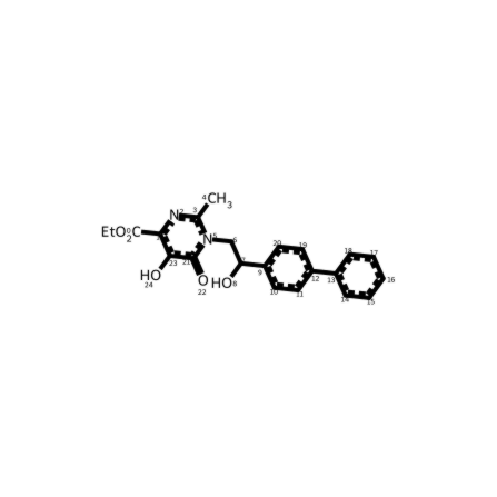 CCOC(=O)c1nc(C)n(CC(O)c2ccc(-c3ccccc3)cc2)c(=O)c1O